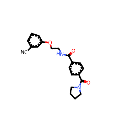 N#Cc1cccc(OCCNC(=O)c2ccc(C(=O)N3CCCC3)cc2)c1